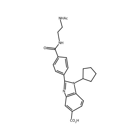 CC(=O)NCCNC(=O)c1ccc(-c2nc3cc(C(=O)O)ccc3n2C2CCCC2)cc1